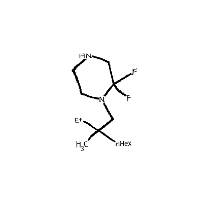 CCCCCCC(C)(CC)CN1CCNCC1(F)F